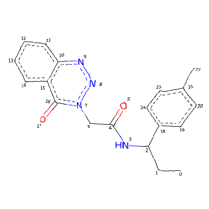 CCC(NC(=O)Cn1nnc2ccccc2c1=O)c1ccc(C)cc1